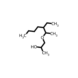 CCCCC(CC)C(C)OCC(C)O